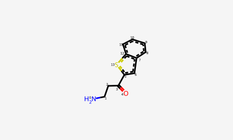 NCCC(=O)c1cc2ccccc2s1